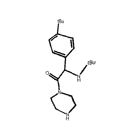 CC(C)(C)NC(C(=O)N1CCNCC1)c1ccc(C(C)(C)C)cc1